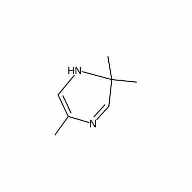 CC1=CNC(C)(C)C=N1